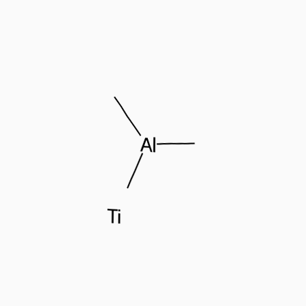 [CH3][Al]([CH3])[CH3].[Ti]